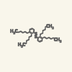 CCCCCCc1cccc(SSc2cccc(CCCCCC)c2CCCCCC)c1CCCCCC